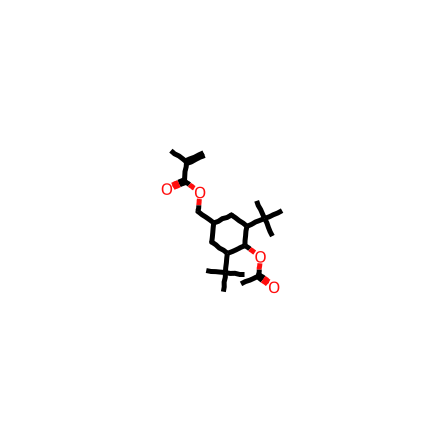 C=C(C)C(=O)OCC1CC(C(C)(C)C)C(OC(C)=O)C(C(C)(C)C)C1